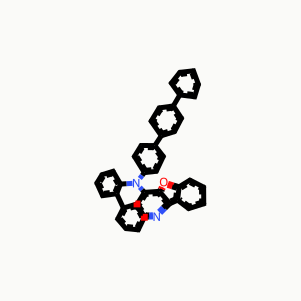 c1ccc(-c2ccc(-c3ccc(N(c4ccccc4-c4ccccc4)c4ccnc5c4oc4ccccc45)cc3)cc2)cc1